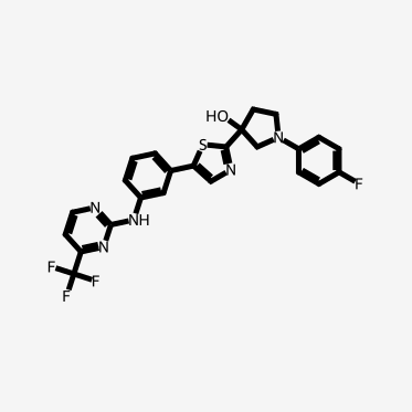 OC1(c2ncc(-c3cccc(Nc4nccc(C(F)(F)F)n4)c3)s2)CCN(c2ccc(F)cc2)C1